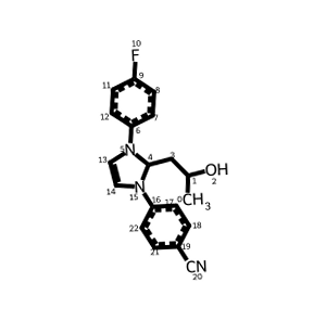 CC(O)CC1N(c2ccc(F)cc2)C=CN1c1ccc(C#N)cc1